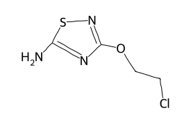 Nc1nc(OCCCl)ns1